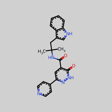 CC(C)(Cc1c[nH]c2ccccc12)NC(=O)c1cc(-c2ccncc2)n[nH]c1=O